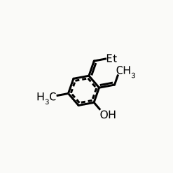 C/C=c1/c(O)cc(C)c/c1=C/CC